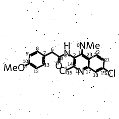 CNc1c(NC(=O)Cc2ccc(OC)cc2)c(Cl)nc2cc(Cl)ccc12